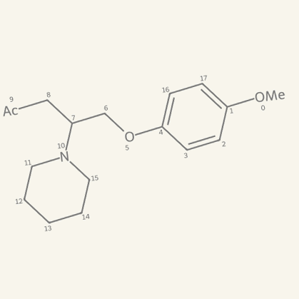 COc1ccc(OCC(CC(C)=O)N2CCCCC2)cc1